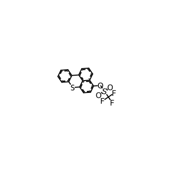 O=S(=O)(Oc1ccc2c3c(cccc13)-c1ccccc1S2)C(F)(F)F